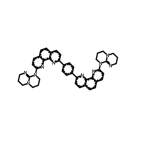 c1cc(-c2ccc3ccc4ccc(N5CCCN6CCCN=C65)nc4c3n2)ccc1-c1ccc2ccc3ccc(N4CCCN5CCCN=C54)nc3c2n1